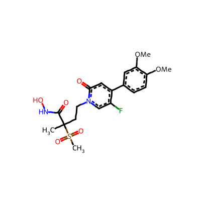 COc1ccc(-c2cc(=O)n(CCC(C)(C(=O)NO)S(C)(=O)=O)cc2F)cc1OC